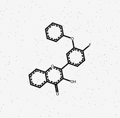 O=c1c(O)c(-c2ccc(F)c(Oc3ccccc3)c2)oc2ccccc12